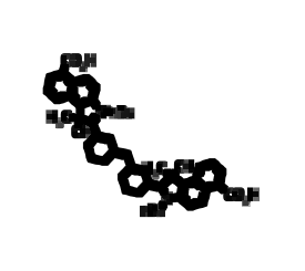 CCCCN1/C(=C2C=C(/C=C3/C=C(C4=[N+](CCCC)c5ccc6c(C(=O)O)cccc6c5C4(C)C)CCC3)CCC/2)C(C)(C)c2c1ccc1c(C(=O)O)cccc21